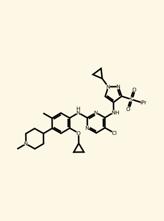 Cc1cc(Nc2ncc(Cl)c(Nc3cn(C4CC4)nc3S(=O)(=O)C(C)C)n2)c(OC2CC2)cc1C1CCN(C)CC1